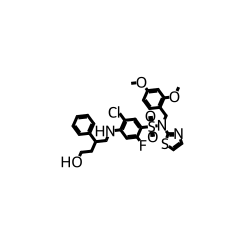 COc1ccc(CN(c2nccs2)S(=O)(=O)c2cc(Cl)c(NCC(CCO)c3ccccc3)cc2F)c(OC)c1